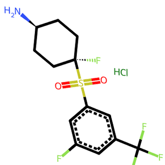 Cl.N[C@H]1CC[C@@](F)(S(=O)(=O)c2cc(F)cc(C(F)(F)F)c2)CC1